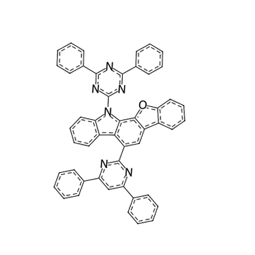 c1ccc(-c2cc(-c3ccccc3)nc(-c3cc4c5ccccc5oc4c4c3c3ccccc3n4-c3nc(-c4ccccc4)nc(-c4ccccc4)n3)n2)cc1